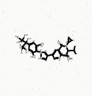 CC(C)C(C(=O)O)N(C(=O)c1cc(-c2cnn(-c3c(Cl)cc(C(F)(C(F)(F)F)C(F)(F)F)cc3Cl)c2)cnc1Cl)C1CC1